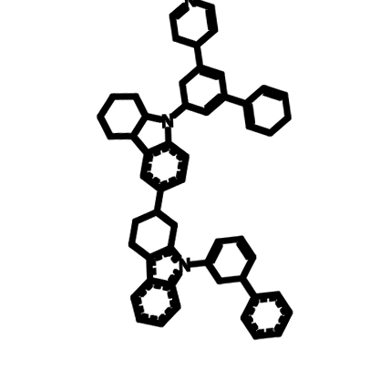 C1=CC(c2ccccc2)CC(n2c3c(c4ccccc42)CCC(c2ccc4c(c2)C2CCCCC2N4C2C=C(C4=CCCC=C4)C=C(C4C=CN=CC4)C2)C3)=C1